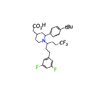 CC(C)(C)c1ccc(C2CC(CC(=O)O)CCN2C(CCc2cc(F)cc(F)c2)CCC(F)(F)F)cc1